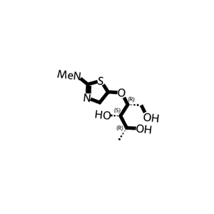 CNC1=NCC(O[C@H](CO)[C@@H](O)[C@@H](C)O)S1